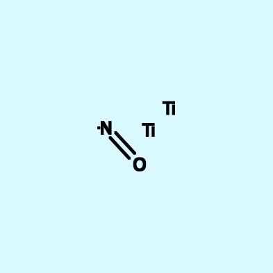 [N]=O.[Ti].[Ti]